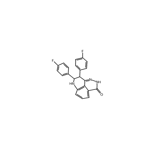 O=c1[nH]nc2c3c(cccc13)NC(c1ccc(F)cc1)C2c1ccc(F)cc1